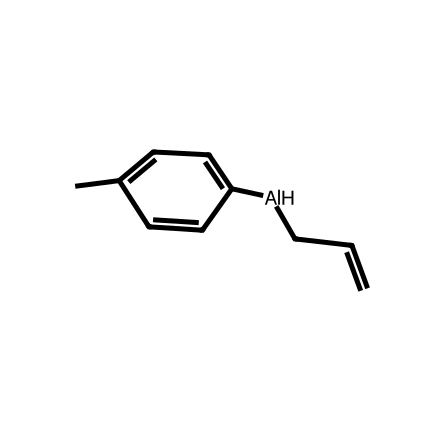 C=C[CH2][AlH][c]1ccc(C)cc1